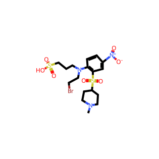 CN1CCC(S(=O)(=O)c2cc([N+](=O)[O-])ccc2N(CCBr)CCCS(=O)(=O)O)CC1